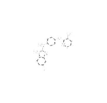 Fc1ccc2[nH]c(Nc3ccc(Oc4ncccc4C(F)(F)F)cc3)nc2c1